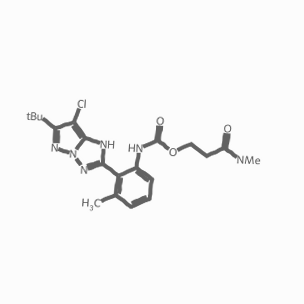 CNC(=O)CCOC(=O)Nc1cccc(C)c1-c1nn2nc(C(C)(C)C)c(Cl)c2[nH]1